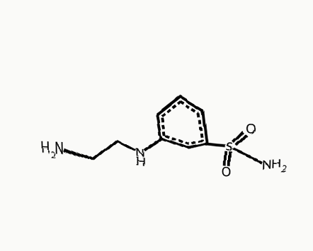 NCCNc1cccc(S(N)(=O)=O)c1